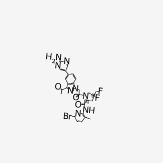 CC(=O)c1nn(CC(=O)N2C[C@@](F)(CF)C[C@H]2C(=O)Nc2nc(Br)ccc2C)c2ccc(-c3cnc(N)nc3)cc12